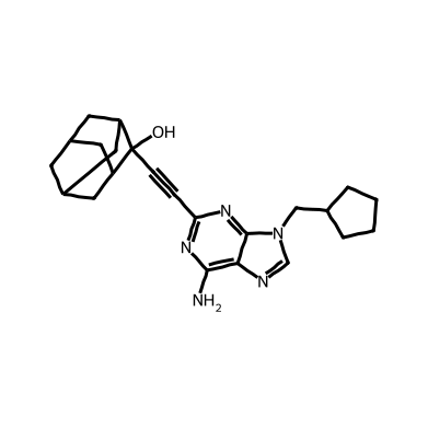 Nc1nc(C#CC2(O)C3CC4CC(C3)CC2C4)nc2c1ncn2CC1CCCC1